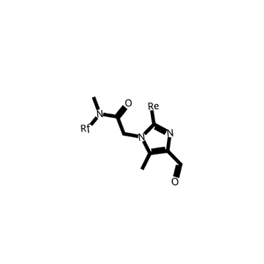 Cc1c(C=O)n[c]([Re])n1CC(=O)[N](C)[Rf]